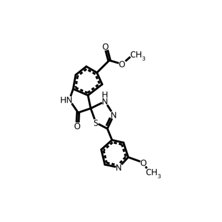 COC(=O)c1ccc2c(c1)C1(NN=C(c3ccnc(OC)c3)S1)C(=O)N2